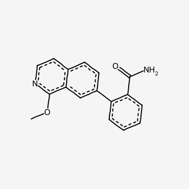 COc1nccc2ccc(-c3ccccc3C(N)=O)cc12